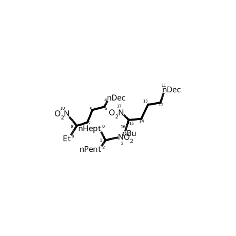 CCCCCCCC(CCCCC)[N+](=O)[O-].CCCCCCCCCCCCCC(CC)[N+](=O)[O-].CCCCCCCCCCCCCC(CCCC)[N+](=O)[O-]